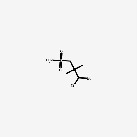 CC[C](CC)C(C)(C)CS(N)(=O)=O